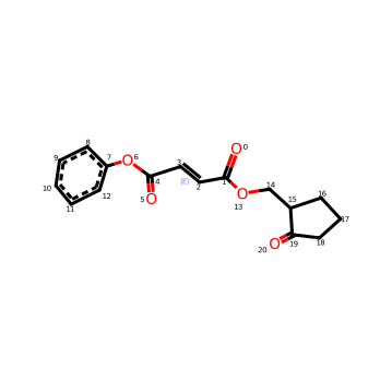 O=C(/C=C/C(=O)Oc1ccccc1)OCC1CCCC1=O